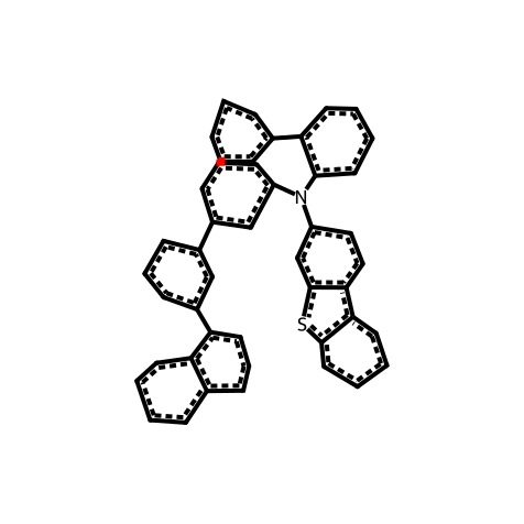 c1ccc(-c2ccccc2N(c2cccc(-c3cccc(-c4cccc5ccccc45)c3)c2)c2ccc3c(c2)sc2ccccc23)cc1